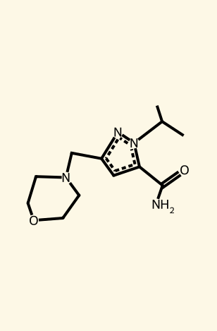 CC(C)n1nc(CN2CCOCC2)cc1C(N)=O